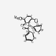 COc1ccc(Cl)c(N(C(=O)c2ccccc2)c2ccccc2)c1Cl